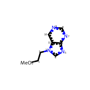 COCCn1cnc2ncncc21